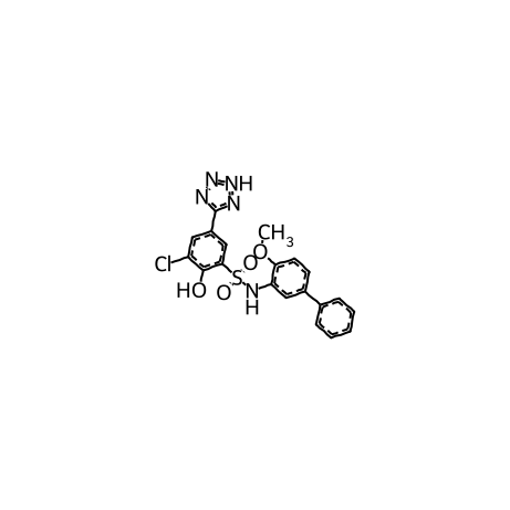 COc1ccc(-c2ccccc2)cc1NS(=O)(=O)c1cc(-c2nn[nH]n2)cc(Cl)c1O